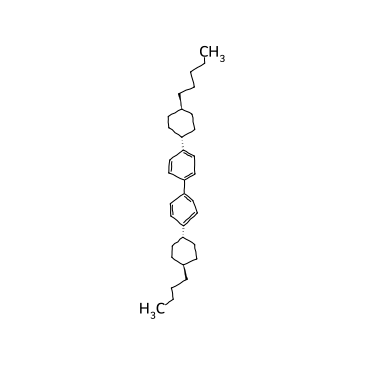 CCCCC[C@H]1CC[C@H](c2ccc(-c3ccc([C@H]4CC[C@H](CCCC)CC4)cc3)cc2)CC1